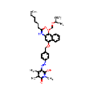 CCCCCCCCCCCCCCCC(=O)Nc1cc(OCc2ccc(/N=N/c3c(C)c(C#N)c(=O)n(C)c3O)cc2)c2ccccc2c1OCOC(C)OC